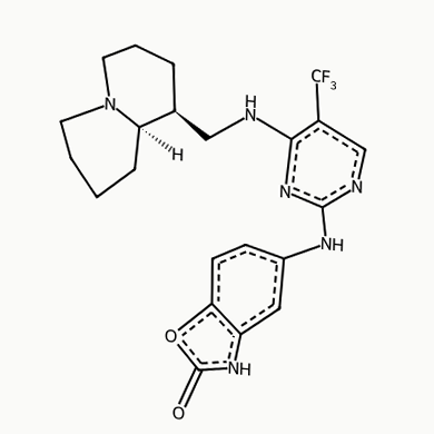 O=c1[nH]c2cc(Nc3ncc(C(F)(F)F)c(NC[C@@H]4CCCN5CCCC[C@H]45)n3)ccc2o1